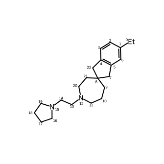 CCc1ccc2c(c1)CC1(CCCN(CCN3CCCC3)CC1)C2